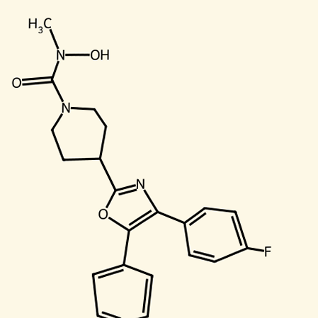 CN(O)C(=O)N1CCC(c2nc(-c3ccc(F)cc3)c(-c3ccccc3)o2)CC1